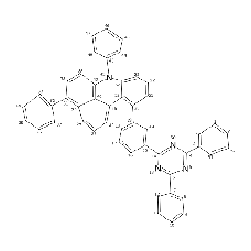 c1ccc(-c2nc(-c3ccccc3)nc(-c3cccc(-c4cccc5c4-c4cccc6c(-c7ccccc7)ccc(c46)N5c4ccccc4)c3)n2)cc1